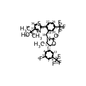 C[C@H]1[C@@H](c2cc(F)cc(C(F)(F)F)c2)OC(=O)N1Cc1cc(C(F)(F)F)ccc1-c1nc(C(C)(C)O)cs1